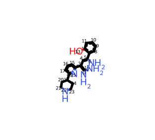 NC(N)=C(/C=C(\N)c1ccccc1O)c1cccc(C2CCNCC2)n1